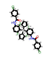 O=C(Nc1ccc(F)[c]([Ti]([c]2c(F)ccc(NC(=O)c3ccc(Cl)cc3)c2F)([CH]2C=CC=C2)[CH]2C=CC=C2)c1F)c1ccc(Cl)cc1